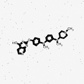 CN1CCC(N(C)c2cccc(N(C)c3ccc(Oc4nc(O)c5ccncc5n4)cc3)c2)CC1